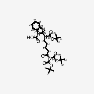 CC(C)(C)OC(=O)N(C(=O)CCCCN(C(=O)OC(C)(C)C)c1nc2ccccc2n1C(=O)O)C(=O)OC(C)(C)C